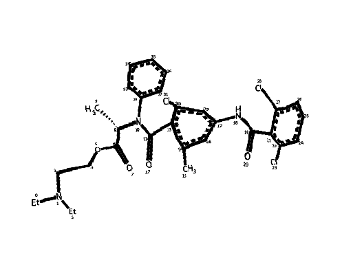 CCN(CC)CCOC(=O)[C@H](C)N(C(=O)c1c(C)cc(NC(=O)c2c(Cl)cccc2Cl)cc1Cl)c1ccccc1